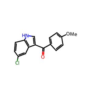 COc1ccc(C(=O)c2c[nH]c3ccc(Cl)cc23)cc1